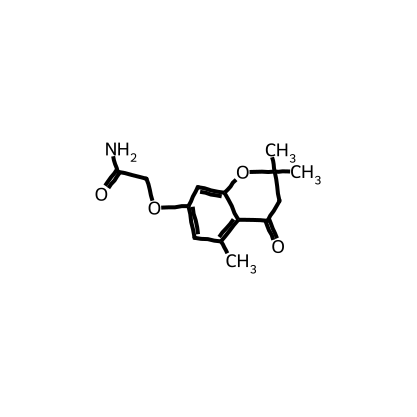 Cc1cc(OCC(N)=O)cc2c1C(=O)CC(C)(C)O2